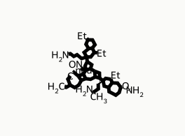 C=CC1CCCC2(CCCC)C(CC1)C1CC3C(CC3[C@]3(CCC(C)N)CC(CC)C4CC(ON)CCCC4C3)C3CC(C4(CCCCN)CC(CC)C5CCC(CC)CC5C4)CC3(CN=O)C12